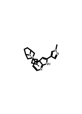 Cn1cc(-c2cc3c(N4CC5CCC(C4)N5[C@H]4C[C@H](C)C4)ccnc3[nH]2)cn1